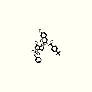 CC(C)(C)c1ccc(C(=O)NC(Cc2ccc(F)cc2)C(=O)N2CCC3C2C(=O)CN3S(=O)(=O)Cc2cccnc2)cc1